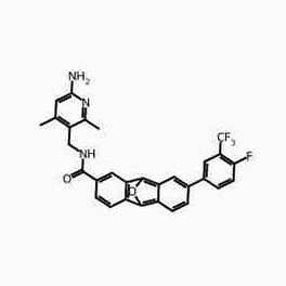 Cc1cc(N)nc(C)c1CNC(=O)c1ccc2c(c1)c1oc2c2ccc(-c3ccc(F)c(C(F)(F)F)c3)cc21